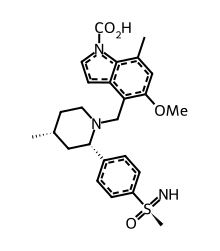 COc1cc(C)c2c(ccn2C(=O)O)c1CN1CC[C@@H](C)C[C@H]1c1ccc([S@](C)(=N)=O)cc1